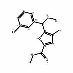 CNC(=O)c1cc(C)c(C(OC)c2cccc(Cl)c2)o1